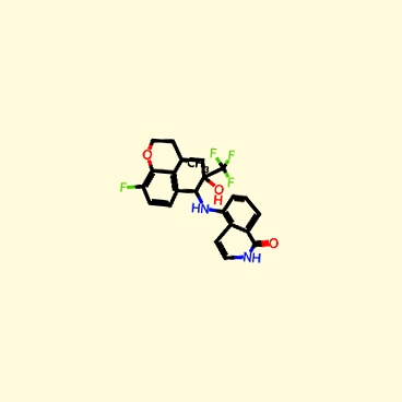 CC12CCOc3c(F)ccc(c31)C(Nc1cccc3c(=O)[nH]ccc13)C(O)(C(F)(F)F)C2